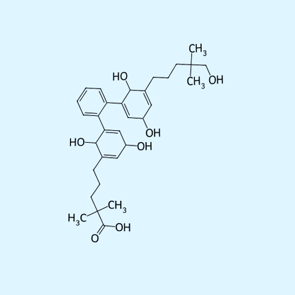 CC(C)(CO)CCCC1=CC(O)C=C(c2ccccc2C2=CC(O)C=C(CCCC(C)(C)C(=O)O)C2O)C1O